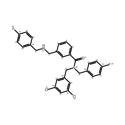 O=C(c1cccc(CNCc2ccc(F)cc2)c1)N(Cc1ccc(F)cc1)Cc1cc(Cl)cc(Cl)c1